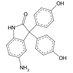 Nc1ccc2c(c1)C(c1ccc(O)cc1)(c1ccc(O)cc1)C(=O)N2